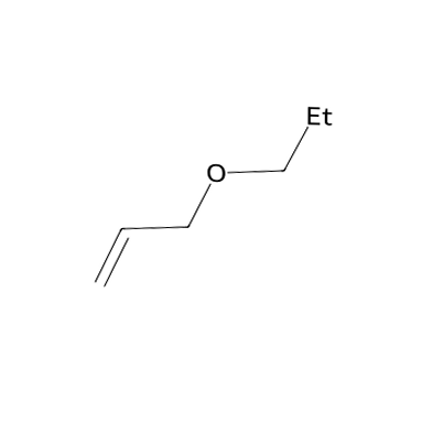 C=CCOCCC